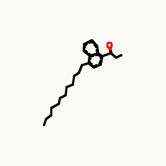 CCCCCCCCCCCCc1ccc(C(=O)CC)c2ccccc12